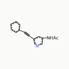 CC(=O)Nc1cncc(C#Cc2ccccc2)c1